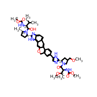 COCC1C[C@@H](c2ncc(-c3ccc4c(c3)COc3cc5c(ccc6nc([C@@H]7CC[C@H](C)N7C(O)[C@@H](NC(=O)OC)C(C)C)[nH]c65)cc3-4)[nH]2)N(C(=O)C(NC(=O)OC)[C@@H](C)OC)C1